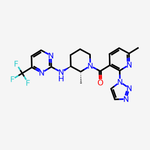 Cc1ccc(C(=O)N2CCC[C@H](Nc3nccc(C(F)(F)F)n3)[C@H]2C)c(-n2ccnn2)n1